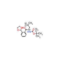 CC(C)C[C@@H](NC(=O)OC(C)(C)C)[C@H](O)c1ccccc1C1OCCO1